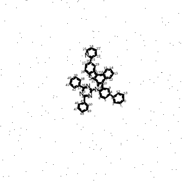 c1ccc(-c2ccc3c(c2)c2c4ccccc4c4c5cc(-c6ccccn6)ccc5sc4c2n3-c2nc(-c3ccccc3)nc(-c3ccccc3)n2)cc1